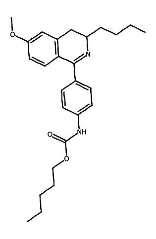 CCCCCOC(=O)Nc1ccc(C2=NC(CCCC)Cc3cc(OC)ccc32)cc1